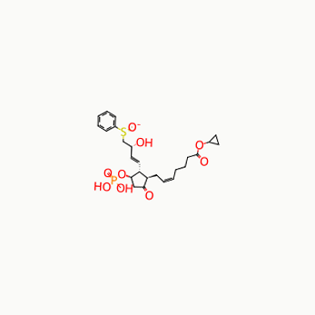 O=C(CCC/C=C\C[C@H]1C(=O)C[C@@H](OP(=O)(O)O)[C@@H]1/C=C/[C@@H](O)C[S+]([O-])c1ccccc1)OC1CC1